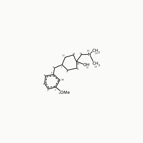 COc1cccc(CC2CCC(O)(CN(C)C)CC2)c1